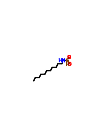 CCCCCCCCCCCN[SH](=O)=O